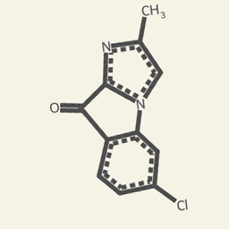 Cc1cn2c(n1)C(=O)c1ccc(Cl)cc1-2